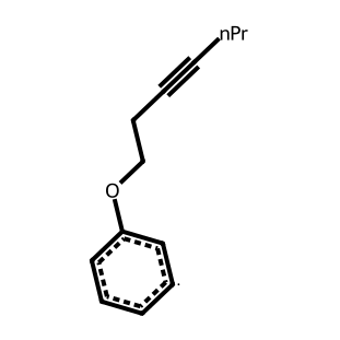 CCCC#CCCOc1c[c]ccc1